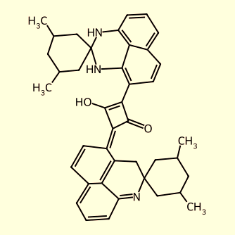 CC1CC(C)CC2(Cc3/c(=C4\C(=O)C(c5ccc6cccc7c6c5NC5(CC(C)CC(C)C5)N7)=C4O)ccc4cccc(c34)=N2)C1